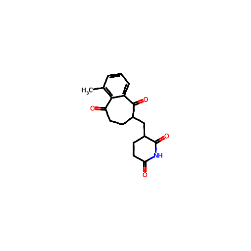 Cc1cccc2c1C(=O)CCC(CC1CCC(=O)NC1=O)C2=O